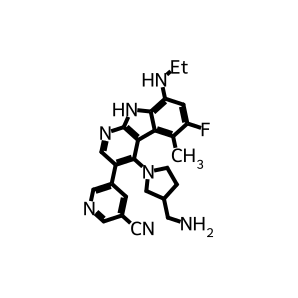 CCNc1cc(F)c(C)c2c1[nH]c1ncc(-c3cncc(C#N)c3)c(N3CCC(CN)C3)c12